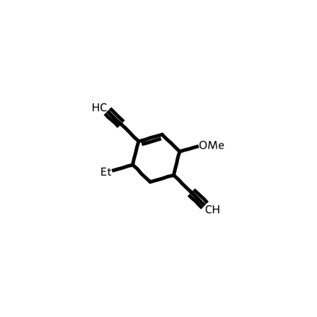 C#CC1=CC(OC)C(C#C)CC1CC